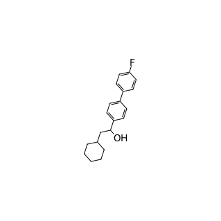 OC(CC1CCCCC1)c1ccc(-c2ccc(F)cc2)cc1